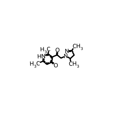 CC1=NN(CC(=O)c2c(C)[nH]c(C)cc2=O)C(C)C1